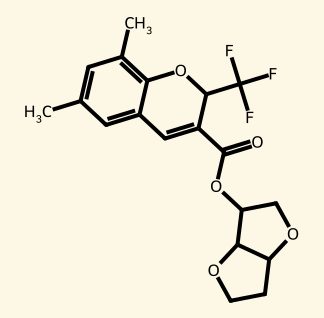 Cc1cc(C)c2c(c1)C=C(C(=O)OC1COC3CCOC31)C(C(F)(F)F)O2